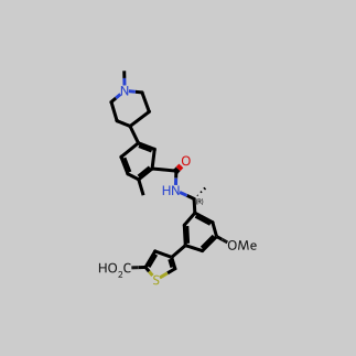 COc1cc(-c2csc(C(=O)O)c2)cc([C@@H](C)NC(=O)c2cc(C3CCN(C)CC3)ccc2C)c1